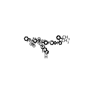 CC(C)c1ccccc1[C@H]1CCCN1C1CC2(CCN(c3ccc(C(=O)NS(=O)(=O)c4cnc(NCC5CCCCC5)c([N+](=O)[O-])c4)c(-n4ncc5nc6[nH]ccc6cc54)c3)CC2)C1